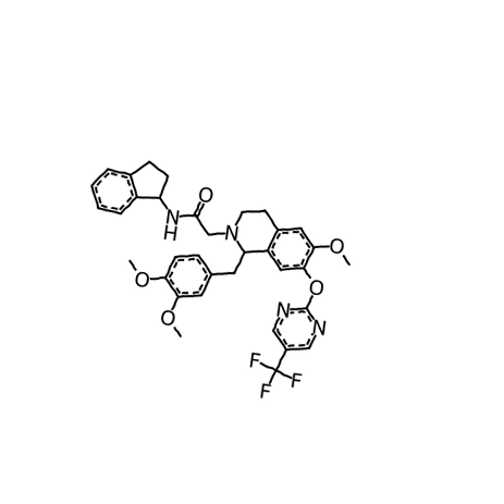 COc1ccc(CC2c3cc(Oc4ncc(C(F)(F)F)cn4)c(OC)cc3CCN2CC(=O)NC2CCc3ccccc32)cc1OC